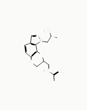 CC(=O)NCC1COc2ccc3cnn(C[C@H](C)N)c3c2O1